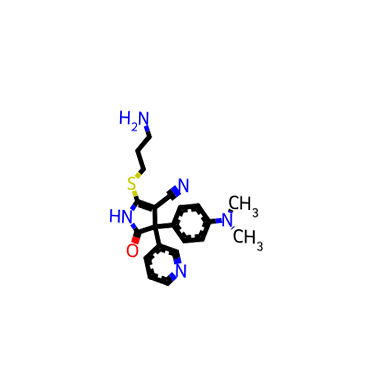 CN(C)c1ccc(C2(c3cccnc3)C(=O)NC(SCCCN)=C2C#N)cc1